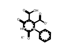 O=C(O)c1c(C(=O)[O-])n(-c2ccccc2)c(=O)[nH]c1=O.[K+]